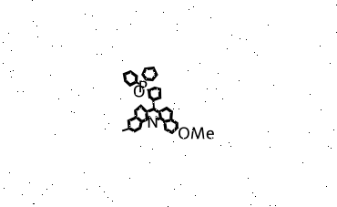 COc1ccc2c(ccc3c(-c4cccc(P(=O)(c5ccccc5)c5ccccc5)c4)c4ccc5cc(C)ccc5c4nc32)c1